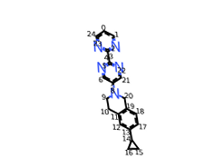 c1cnc(-c2ncc(N3CCc4cc(C5CC5)ccc4C3)cn2)nc1